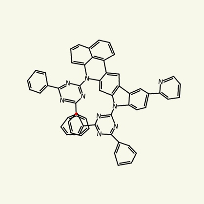 c1ccc(-c2nc(-c3ccccc3)nc(N3c4cc5c(cc4-c4cccc6cccc3c46)c3cc(-c4ccccn4)ccc3n5-c3nc(-c4ccccc4)nc(-c4ccccc4)n3)n2)cc1